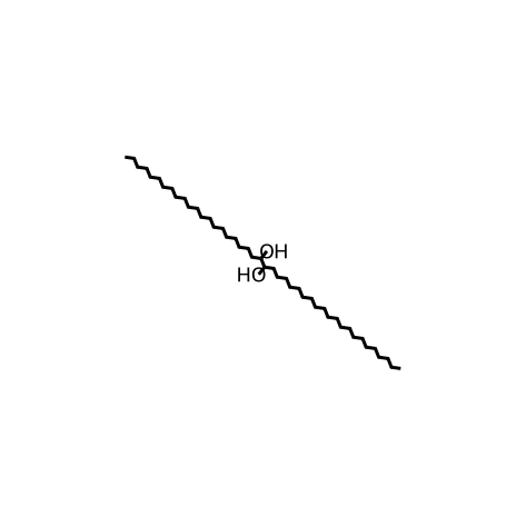 CCCCCCCCCCCCCCCCCCCCCC(O)C(O)CCCCCCCCCCCCCCCCCCCCC